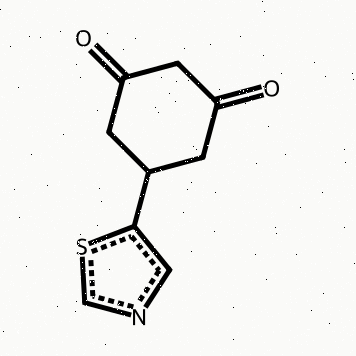 O=C1CC(=O)CC(c2cncs2)C1